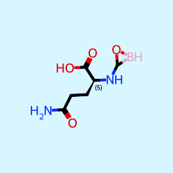 NC(=O)CC[C@H](NC1BO1)C(=O)O